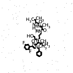 CC(C)C(N)C(=O)N[C@@H](C)C(=O)NCCCN(C(=O)CO)[C@@H](c1nc(-c2cc(F)ccc2F)cn1Cc1ccccc1)C(C)(C)C